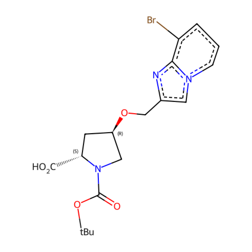 CC(C)(C)OC(=O)N1C[C@H](OCc2cn3cccc(Br)c3n2)C[C@H]1C(=O)O